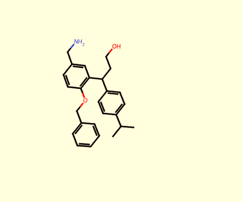 CC(C)c1ccc(C(CCO)c2cc(CN)ccc2OCc2ccccc2)cc1